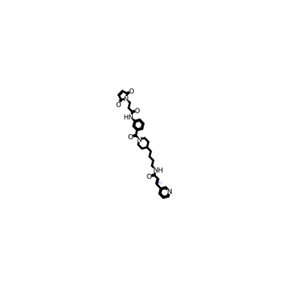 O=C(/C=C/c1cccnc1)NCCCCC1CCN(C(=O)c2cccc(NC(=O)CCN3C(=O)C=CC3=O)c2)CC1